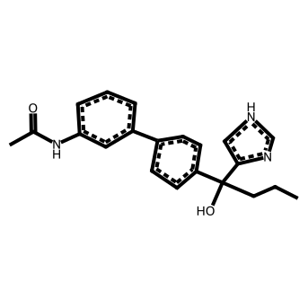 CCCC(O)(c1ccc(-c2cccc(NC(C)=O)c2)cc1)c1c[nH]cn1